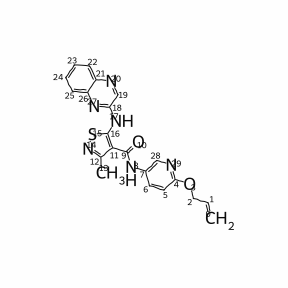 C=CCOc1ccc(NC(=O)c2c(C)nsc2Nc2cnc3ccccc3n2)cn1